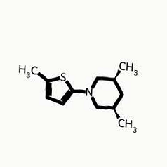 Cc1ccc(N2C[C@H](C)C[C@H](C)C2)s1